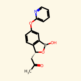 CC(=O)C[C@H]1OB(O)c2cc(Oc3ccccn3)ccc21